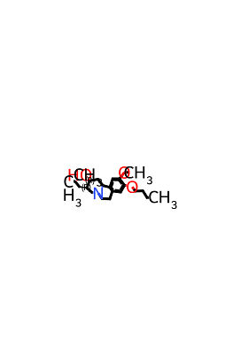 CCCCOc1cc2c(cc1OC)C1C[C@@H](O)[C@H](CC(C)C)CN1CC2